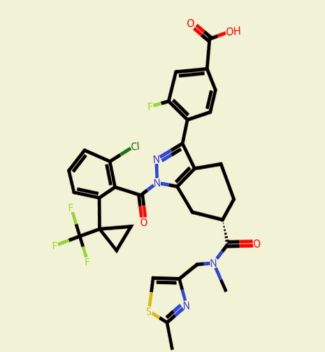 Cc1nc(CN(C)C(=O)[C@H]2CCc3c(-c4ccc(C(=O)O)cc4F)nn(C(=O)c4c(Cl)cccc4C4(C(F)(F)F)CC4)c3C2)cs1